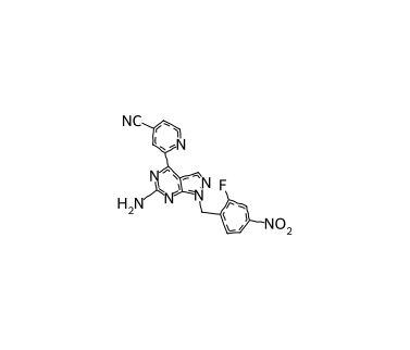 N#Cc1ccnc(-c2nc(N)nc3c2cnn3Cc2ccc([N+](=O)[O-])cc2F)c1